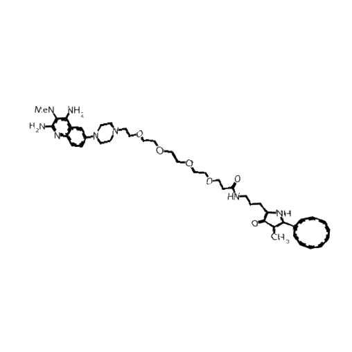 CNc1c(N)nc2ccc(N3CCN(CCOCCOCCOCCOCCC(=O)NCCCC4NC(c5ccccccccc5)C(C)C4=O)CC3)cc2c1N